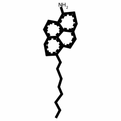 CCCCCCCCc1ccc2ccc3c(N)ccc4ccc1c2c43